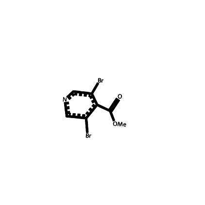 COC(=O)c1c(Br)cncc1Br